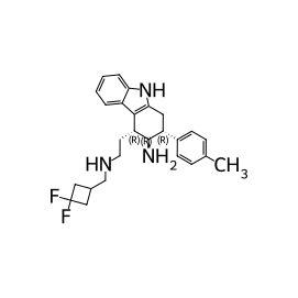 Cc1ccc([C@H]2Cc3[nH]c4ccccc4c3[C@@H](CCNCC3CC(F)(F)C3)[C@@H]2N)cc1